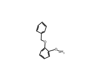 [SiH3]Oc1ccccc1OCc1ccccc1